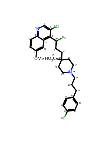 COc1ccc2ncc(Cl)c([C@@H](F)CCC3(C(=O)O)CCN(CCCc4ccc(F)cc4)CC3)c2c1